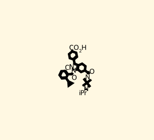 CC(C)N1CC2(CN(C(=O)C3CCc4c(C5=CCC(C(=O)O)CC5)nn(C(=O)c5c(Cl)cccc5C5CC5)c4C3)C2)C1